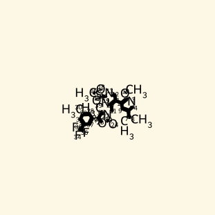 COc1ncc(C(C)C)cc1-c1cnc(S(C)(=O)=O)nc1CN1C(=O)O[C@H](c2cc(C)cc(C(F)(F)F)c2)[C@@H]1C